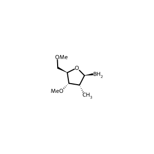 B[C@@H]1O[C@H](COC)[C@@H](OC)[C@H]1C